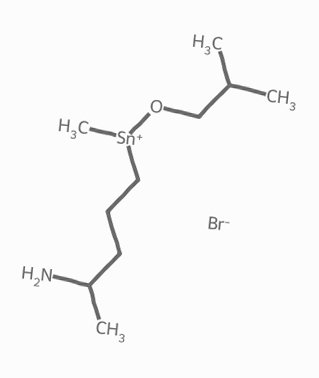 CC(C)C[O][Sn+]([CH3])[CH2]CCC(C)N.[Br-]